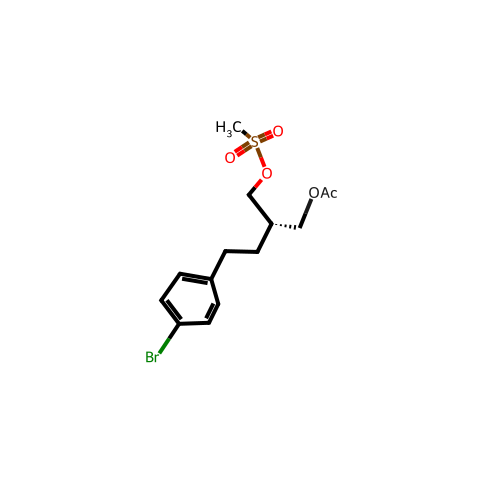 CC(=O)OC[C@H](CCc1ccc(Br)cc1)COS(C)(=O)=O